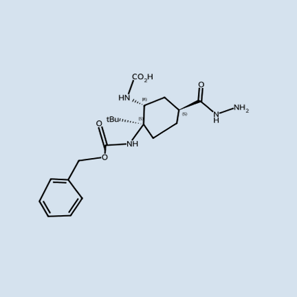 CC(C)(C)[C@@]1(NC(=O)OCc2ccccc2)CC[C@H](C(=O)NN)C[C@H]1NC(=O)O